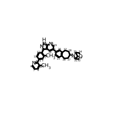 Cc1cc(-c2ncccc2C)ccc1-c1n[nH]c2ncc(-c3ccc4c(c3)CC[C@@H](N3C5COCC3C5)CC4)cc12